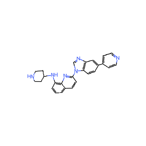 c1cc(NC2CCNCC2)c2nc(-n3cnc4cc(-c5ccncc5)ccc43)ccc2c1